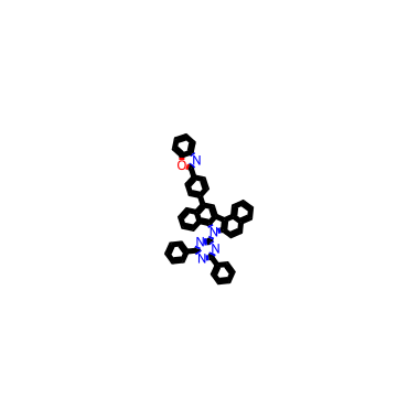 c1ccc(-c2nc(-c3ccccc3)nc(-n3c4ccc5ccccc5c4c4cc(-c5ccc(-c6nc7ccccc7o6)cc5)c5ccccc5c43)n2)cc1